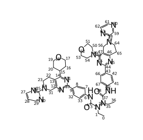 CCN(C(=O)Nc1ccc(-c2nc3c(c(C4CCOCC4)n2)CCN(c2ncccn2)C3)cc1)N(CC)C(=O)Nc1ccc(-c2nc3c(c(N4CCOCC4)n2)CN(c2cnccn2)CC3)cc1